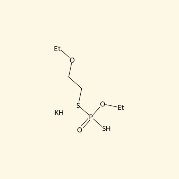 CCOCCSP(=O)(S)OCC.[KH]